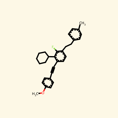 COc1ccc(C#Cc2ccc(CCc3ccc(C)cc3)c(F)c2C2CCCCC2)cc1